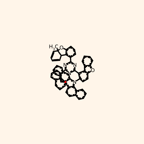 CC12C=CC=CC1c1c(cccc1-c1nc(-c3cccc4ccccc34)nc(-c3c(-n4c5cc6ccccc6cc5c5ccc6ccccc6c54)ccc4oc5ccccc5c34)n1)O2